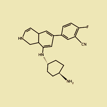 N#Cc1cc(C2=CC3C=CNCC3C(N[C@H]3CC[C@H](N)CC3)=C2)ccc1F